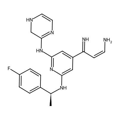 C[C@H](Nc1cc(C(=N)/C=C\N)cc(NC2=NC=CNC2)n1)c1ccc(F)cc1